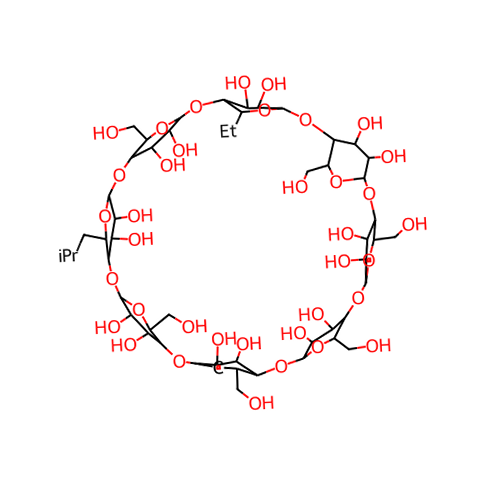 CCC1OC2OC3C(CO)OC(OC4C(CO)OC(OC5C(CO)OC(OC6C(CO)CC(OC7C(CO)OC(OC8C(CC(C)C)OC(OC9C(CO)OC(OC1C(O)C2O)C(O)C9O)C(O)C8O)C(O)C7O)C(O)C6O)C(O)C5O)C(O)C4O)C(O)C3O